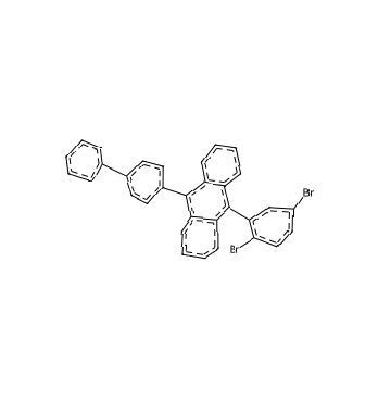 Brc1ccc(Br)c(-c2c3ccccc3c(-c3ccc(-c4ccccc4)cc3)c3ccccc23)c1